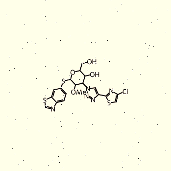 COC1C(Sc2ccc3ncsc3c2)OC(CO)C(O)C1n1cc(-c2nc(Cl)cs2)nn1